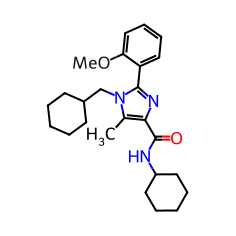 COc1ccccc1-c1nc(C(=O)NC2CCCCC2)c(C)n1CC1CCCCC1